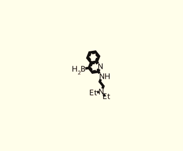 Bc1cc(NCCN(CC)CC)nc2ccccc12